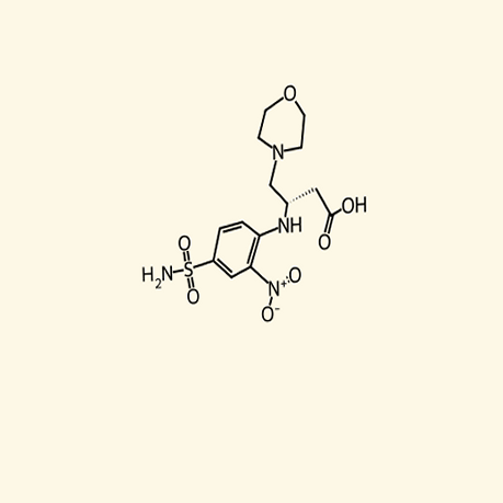 NS(=O)(=O)c1ccc(N[C@@H](CC(=O)O)CN2CCOCC2)c([N+](=O)[O-])c1